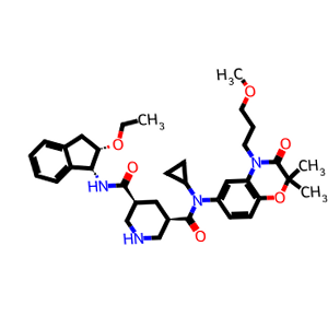 CCO[C@H]1Cc2ccccc2[C@H]1NC(=O)[C@@H]1CNC[C@H](C(=O)N(c2ccc3c(c2)N(CCCOC)C(=O)C(C)(C)O3)C2CC2)C1